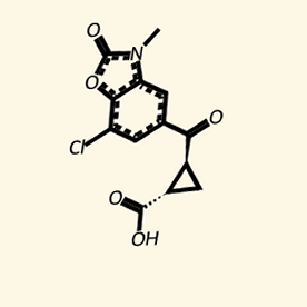 Cn1c(=O)oc2c(Cl)cc(C(=O)[C@H]3C[C@@H]3C(=O)O)cc21